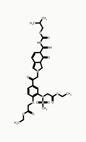 CCOC(=O)COc1ccc(C(=O)CN2C=C3C=CC(C(=N)NC(=O)OCC(C)C)C(=O)C3C2)cc1N(CC(=O)OCC)S(C)(=O)=O